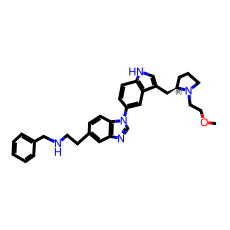 COCCN1CCC[C@@H]1Cc1c[nH]c2ccc(-n3cnc4cc(CCNCc5ccccc5)ccc43)cc12